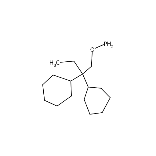 CCC(COP)(C1CCCCC1)C1CCCCC1